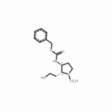 O=C(N[C@H]1CCN(C(=O)O)[C@@H]1CCO)OCc1ccccc1